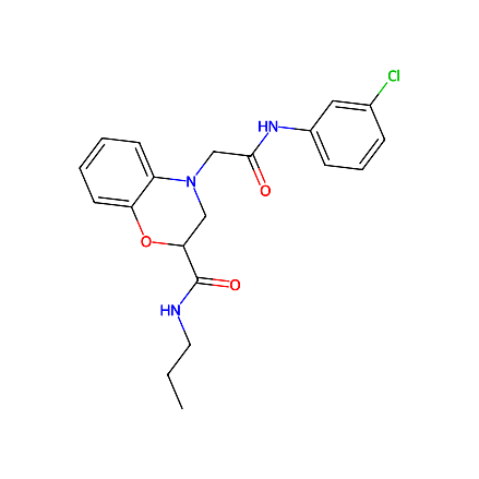 CCCNC(=O)C1CN(CC(=O)Nc2cccc(Cl)c2)c2ccccc2O1